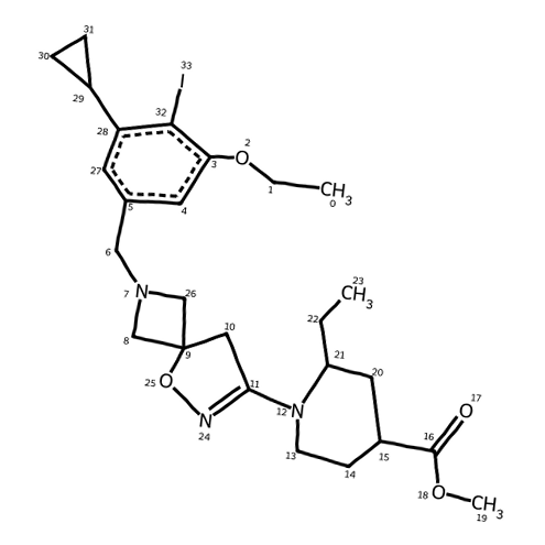 CCOc1cc(CN2CC3(CC(N4CCC(C(=O)OC)CC4CC)=NO3)C2)cc(C2CC2)c1I